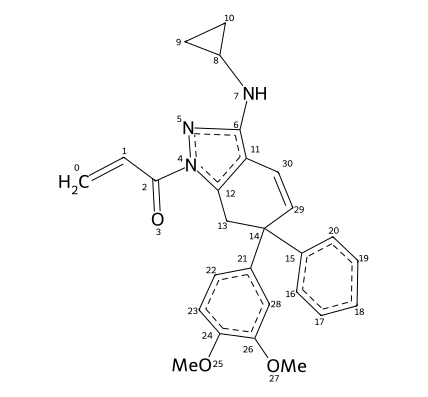 C=CC(=O)n1nc(NC2CC2)c2c1CC(c1ccccc1)(c1ccc(OC)c(OC)c1)C=C2